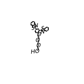 OCCOCCOCCOc1ccc(-c2nc3ccccc3s2)cc1-c1nc2ccccc2s1